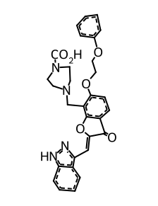 O=C1/C(=C/c2n[nH]c3ccccc23)Oc2c1ccc(OCCOc1ccccc1)c2CN1CCN(C(=O)O)CC1